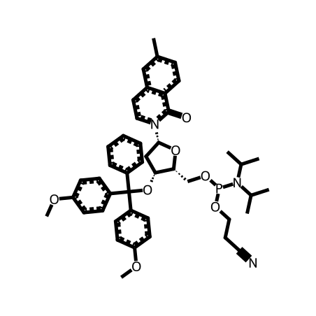 COc1ccc(C(O[C@@H]2C[C@H](n3ccc4cc(C)ccc4c3=O)O[C@@H]2COP(OCCC#N)N(C(C)C)C(C)C)(c2ccccc2)c2ccc(OC)cc2)cc1